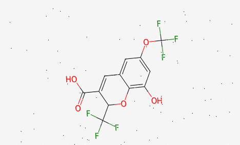 O=C(O)C1=Cc2cc(OC(F)(F)F)cc(O)c2OC1C(F)(F)F